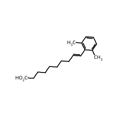 Cc1cccc(C)c1/C=C/CCCCCCCC(=O)O